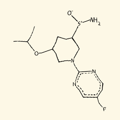 CC(C)OC1CC([S+](N)[O-])CN(c2ncc(F)cn2)C1